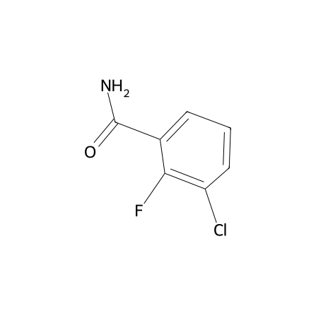 NC(=O)c1cccc(Cl)c1F